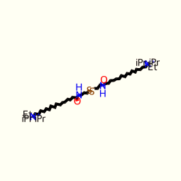 CC[N+](CCCCCCCCCCCCCCCC(=O)NCCCSSCCCNC(=O)CCCCCCCCCCCCCCC[N+](CC)(C(C)C)C(C)C)(C(C)C)C(C)C